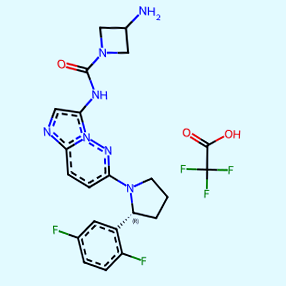 NC1CN(C(=O)Nc2cnc3ccc(N4CCC[C@@H]4c4cc(F)ccc4F)nn23)C1.O=C(O)C(F)(F)F